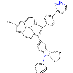 CC(C)(C)c1cc2ccc3c(-c4ccc(-c5cccnc5)cc4)cc(-c4ccc5c(c4)c4ccccc4n5-c4ccccc4)c4ccc(c1)c2c34